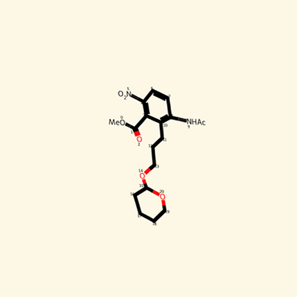 COC(=O)c1c([N+](=O)[O-])ccc(NC(C)=O)c1CCCOC1CCCCO1